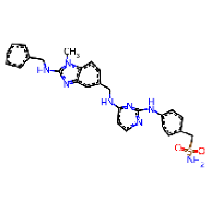 Cn1c(NCc2ccccc2)nc2cc(CNc3ccnc(Nc4ccc(CS(N)(=O)=O)cc4)n3)ccc21